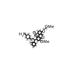 COCCOc1ccc(C(N)=O)c(-c2cc(C(CNC3CCC(N)CC3)c3ccccc3)cc(OC)c2Cl)c1F